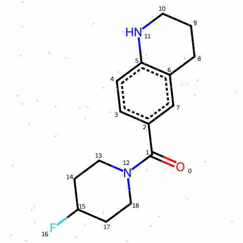 O=C(c1ccc2c(c1)CCCN2)N1CCC(F)CC1